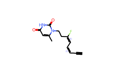 C#C/C=C\C=C(\F)CCn1c(C)cc(=O)[nH]c1=O